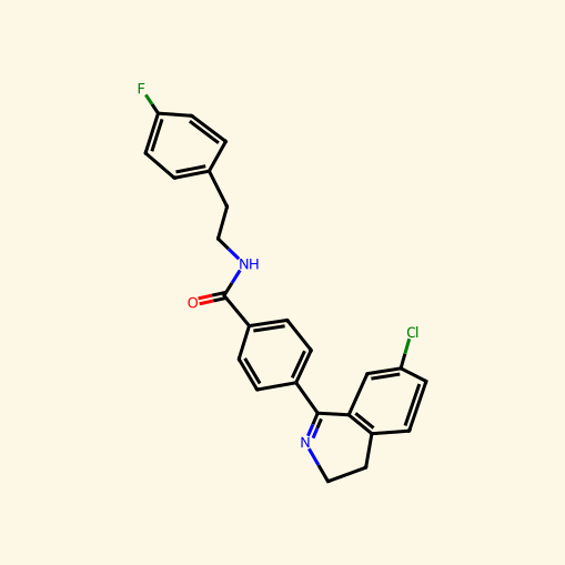 O=C(NCCc1ccc(F)cc1)c1ccc(C2=NCCc3ccc(Cl)cc32)cc1